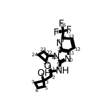 O=C(CC1(O)CCC1)Nc1nc2ccc(C(F)(F)F)nc2n1C1CCC1